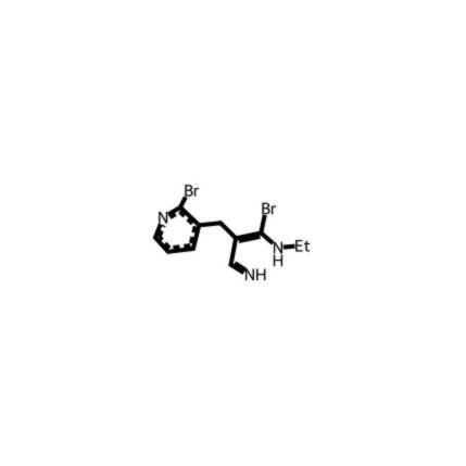 CCN/C(Br)=C(\C=N)Cc1cccnc1Br